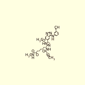 C#Cc1cccc(Nc2ncnc3cc(OC)c(C4CN=C([C@H](CCCCCC(=O)C(=O)NC)NC(=O)C5CN(C)C5)N4)cc23)c1